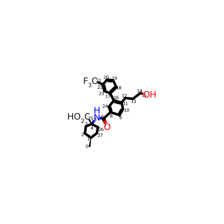 C[C@H]1CC[C@@](NC(=O)c2ccc(CCCO)c(-c3cccc(C(F)(F)F)c3)c2)(C(=O)O)CC1